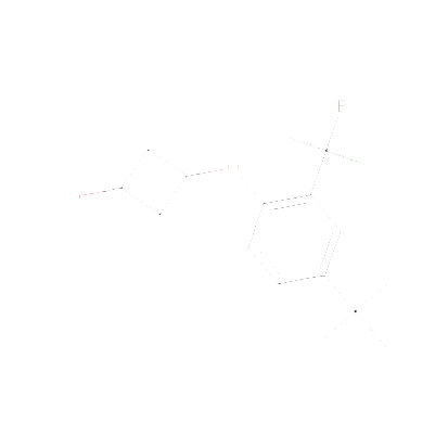 CC(C)(C)c1ccc(OC2CC(O)C2)c(C(F)(F)F)c1